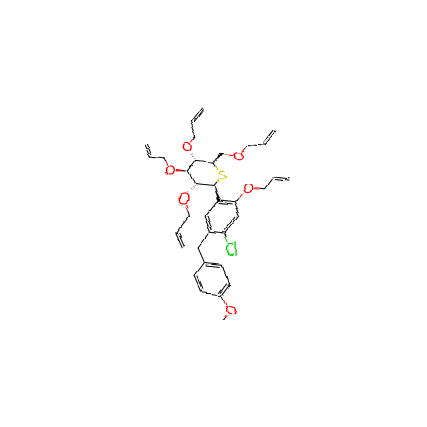 C=CCOC[C@H]1S[C@@H](c2cc(Cc3ccc(OC)cc3)c(Cl)cc2OCC=C)[C@H](OCC=C)[C@@H](OCC=C)[C@@H]1OCC=C